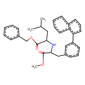 COC(=O)C(Cc1cccc(-c2cccc3ccccc23)c1)NC(CC(C)C)C(=O)OCc1ccccc1